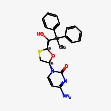 CC(C)(C)[Si](c1ccccc1)(c1ccccc1)C(O)[C@H]1O[C@@H](n2ccc(N)nc2=O)CS1